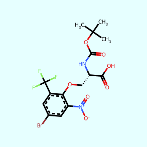 CC(C)(C)OC(=O)N[C@@H](COc1c([N+](=O)[O-])cc(Br)cc1C(F)(F)F)C(=O)O